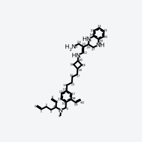 C=CCCC(C=C)N(C)Cc1ccc(CCCCC2CC(N/C=C(\CN)C3CNc4ccccc4N3)C2)cc1C=C